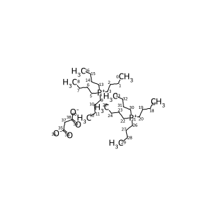 CCCC[P+](CCCC)(CCCC)CCCC.CCCC[P+](CCCC)(CCCC)CCCC.O=C([O-])CC(=O)[O-]